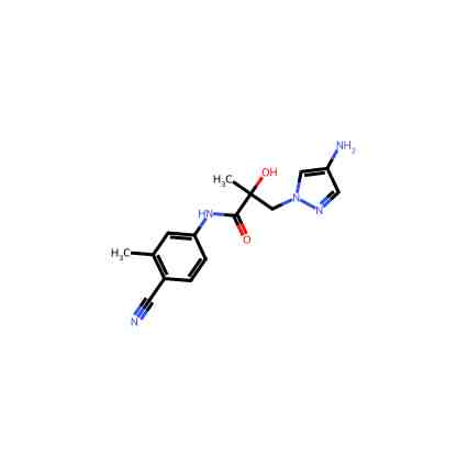 Cc1cc(NC(=O)C(C)(O)Cn2cc(N)cn2)ccc1C#N